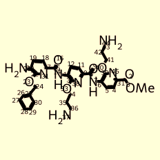 COC(=O)c1ccc(NC(=O)c2ccc(NC(=O)c3ccc(N)c(OCc4ccccc4)n3)c(OCCCN)n2)c(OCCCN)n1